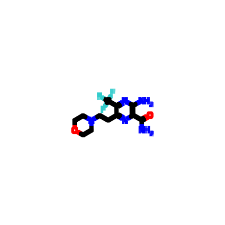 NC(=O)c1nc(CCN2CCOCC2)c(C(F)(F)F)nc1N